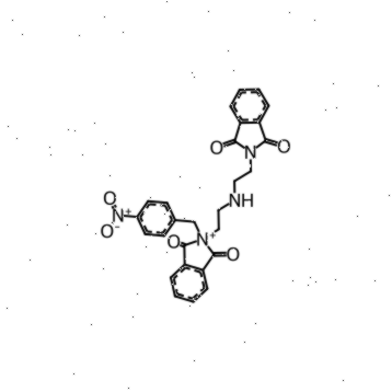 O=C1c2ccccc2C(=O)N1CCNCC[N+]1(Cc2ccc([N+](=O)[O-])cc2)C(=O)c2ccccc2C1=O